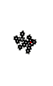 c1ccc(-c2ccc3c(-n4c5cc6ccccc6cc5c5cc6ccccc6cc54)c(-c4cccc5ccccc45)cc(-c4nc(-c5ccccc5)nc(-c5cccc6ccccc56)n4)c3c2)cc1